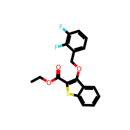 CCOC(=O)c1sc2ccccc2c1OCc1cccc(F)c1F